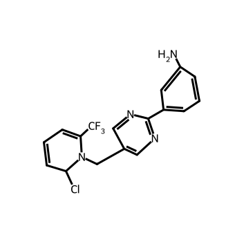 Nc1cccc(-c2ncc(CN3C(C(F)(F)F)=CC=CC3Cl)cn2)c1